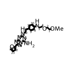 COCCOCCNc1ccc(CCNc2nc(N)n3nc(-c4ccco4)nc3n2)cc1